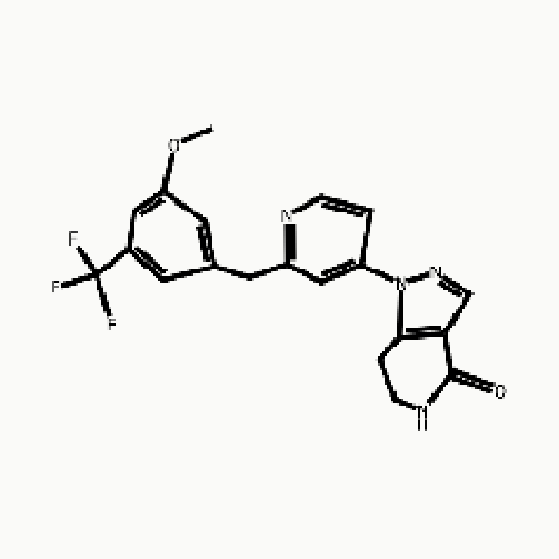 COc1cc(Cc2cc(-n3ncc4c3CCNC4=O)ccn2)cc(C(F)(F)F)c1